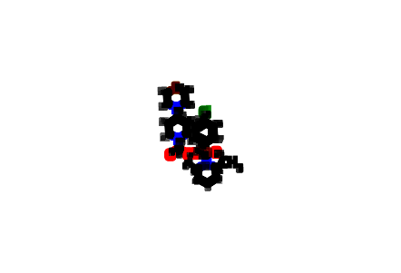 C[C@@H]1CCC[C@H](COC(=O)N2CCC(N3CCSCC3)CC2)N1S(=O)(=O)c1ccc(Cl)cc1